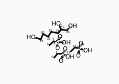 CCS(=O)(=O)O.CCS(=O)(=O)O.CCS(=O)(=O)O.OCCCCCC(O)CO